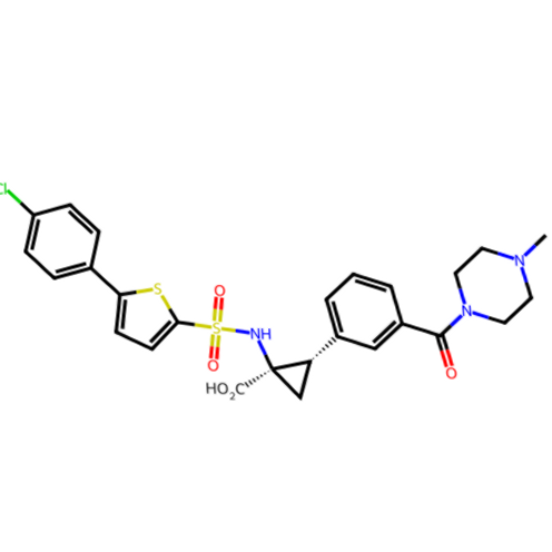 CN1CCN(C(=O)c2cccc([C@@H]3C[C@]3(NS(=O)(=O)c3ccc(-c4ccc(Cl)cc4)s3)C(=O)O)c2)CC1